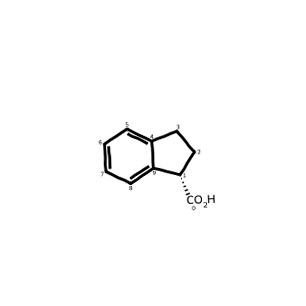 O=C(O)[C@H]1CCc2ccccc21